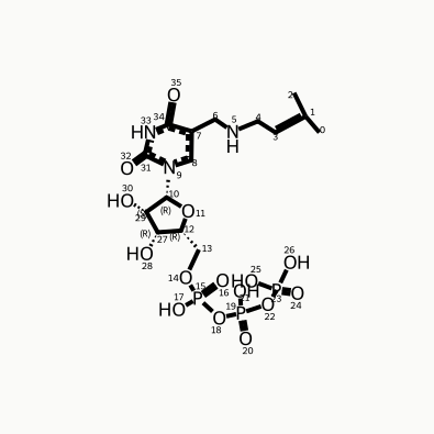 CC(C)=CCNCc1cn([C@@H]2O[C@H](COP(=O)(O)OP(=O)(O)OP(=O)(O)O)[C@H](O)[C@@H]2O)c(=O)[nH]c1=O